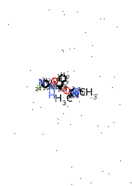 CCn1cc(OC[C@]2(c3ccccc3)C[C@@H]2C(=O)Nc2ccnc(F)c2)c(C)n1